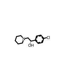 O[C@H](CN1CCCCC1)c1ccc(Cl)cc1